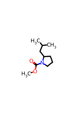 COC(=O)N1CCCC1CC(C)C